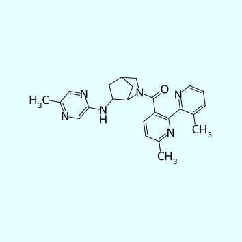 Cc1cnc(NC2CC3CC2N(C(=O)c2ccc(C)nc2-c2ncccc2C)C3)cn1